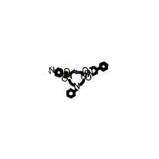 CN(C)c1ccc(S(=O)(=O)N2C/C=C/CN(S(=O)(=O)N3CCC(c4ccccc4)CC3)CCCN(CC3CCCCC3)CCC2)cc1